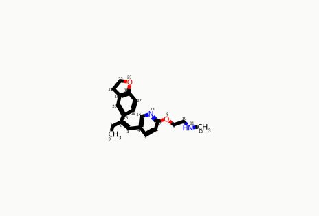 CC/C(=C/c1ccc(OCCNC)nc1)c1ccc2c(c1)CCO2